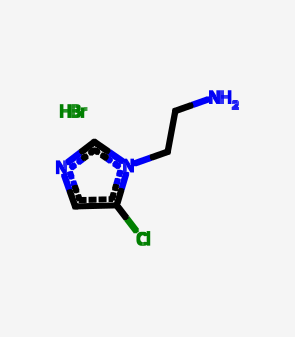 Br.NCCn1cncc1Cl